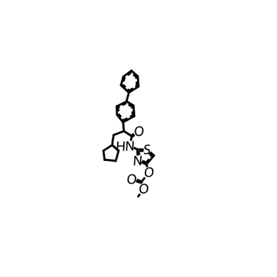 COC(=O)Oc1csc(NC(=O)C(CC2CCCC2)c2ccc(-c3ccccc3)cc2)n1